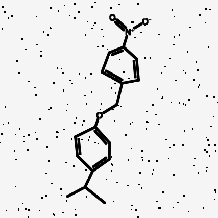 CC(C)c1ccc(OCc2ccc([N+](=O)[O-])cc2)cc1